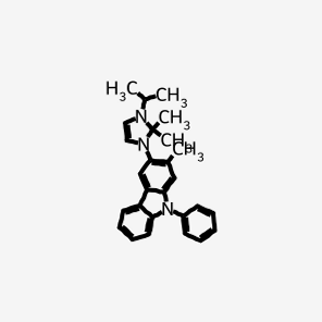 Cc1cc2c(cc1N1C=CN(C(C)C)C1(C)C)c1ccccc1n2-c1ccccc1